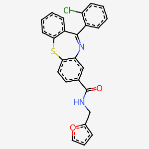 O=C(NCc1ccco1)c1ccc2c(c1)N=C(c1ccccc1Cl)c1ccccc1S2